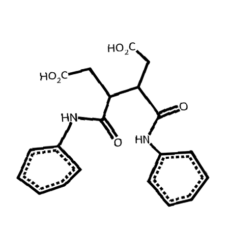 O=C(O)CC(C(=O)Nc1ccccc1)C(CC(=O)O)C(=O)Nc1ccccc1